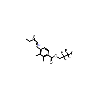 CCN(C)/C=N/c1ccc(C(=O)OCC(F)(F)C(F)(F)F)c(C)c1C